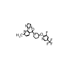 Cc1ccc(C(=O)N2CCC[C@@H](Oc3ncc(C(F)(F)F)cc3F)C2)c(-n2nccn2)n1